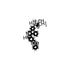 CC(C)(C)C(=O)Nc1ccc(-c2cnc3[nH]c4ccc(CS(=O)(=O)c5ccccc5)cc4c3c2-c2ccccc2)cc1